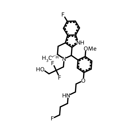 COc1ccc(OCCNCCCF)cc1C1c2[nH]c3ccc(F)cc3c2C[C@@H](C)N1CC(F)(F)CO